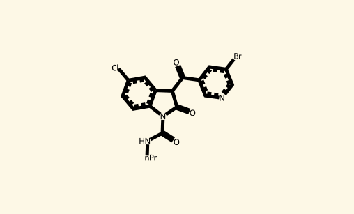 CCCNC(=O)N1C(=O)C(C(=O)c2cncc(Br)c2)c2cc(Cl)ccc21